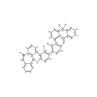 CB1Oc2ccccc2Oc2c1cccc2-c1c(C)ccc(-c2ccc(C)c(-c3cccc4c3Oc3ccccc3C4(C)C)c2C)c1C